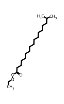 CCOOC(=O)CCCCCCCCCCCCCCC(C)C